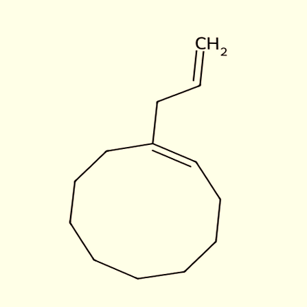 C=CC/C1=C/CCCCCCCC1